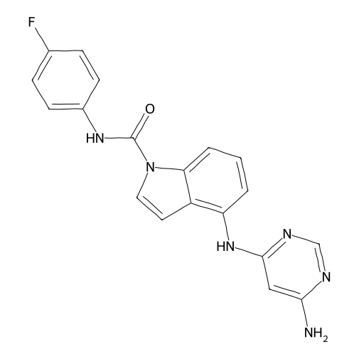 Nc1cc(Nc2cccc3c2ccn3C(=O)Nc2ccc(F)cc2)ncn1